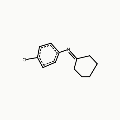 Clc1ccc(N=C2CCCCC2)cc1